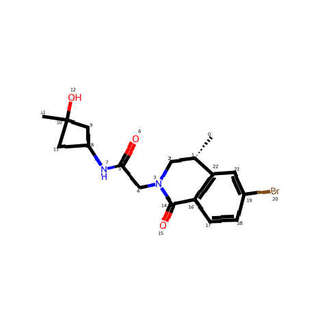 C[C@H]1CN(CC(=O)NC2CC(C)(O)C2)C(=O)c2ccc(Br)cc21